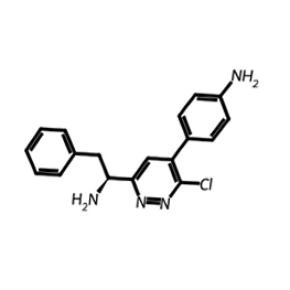 Nc1ccc(-c2cc([C@@H](N)Cc3ccccc3)nnc2Cl)cc1